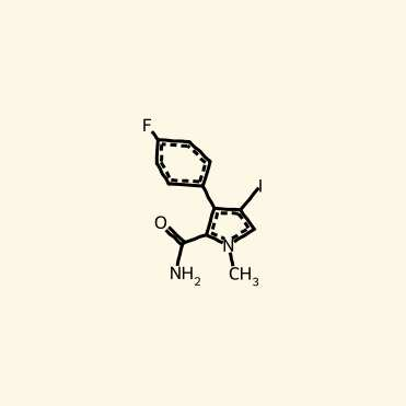 Cn1cc(I)c(-c2ccc(F)cc2)c1C(N)=O